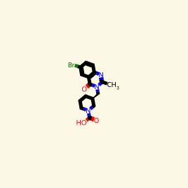 Cc1nc2ccc(Br)cc2c(=O)n1C[C@@H]1CCCN(C(=O)O)C1